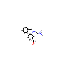 CN(C)CCN(Cc1ccccc1)c1cccc(C=O)c1